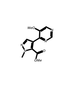 COC(=O)c1c(-c2ncncc2OC)cnn1C